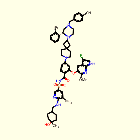 COc1nc2[nH]cc(F)c2cc1Oc1cc(N2CCC3(CC2)CC(N2CCN(Cc4ccc(C#N)cc4)C[C@H]2c2ccccc2C(C)C)C3)ccc1C(=O)NS(=O)(=O)c1cnc(NCC2CCC(C)(O)CC2)c([N+](=O)[O-])c1